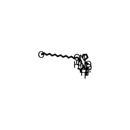 CC(C)C(NC(=O)[C@@H]1CCCN1C(=O)OCCCCCCCCCCCC=O)C(=O)C(F)(F)F